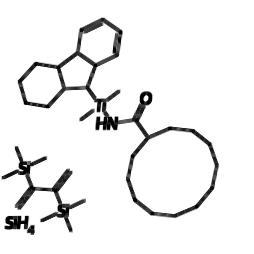 C=C(C(=C)[Si](C)(C)C)[Si](C)(C)C.[CH3][Ti]([CH3])([NH]C(=O)C1CCCCCCCCCCC1)[CH]1C2C=CC=CC2C2CCCCC21.[SiH4]